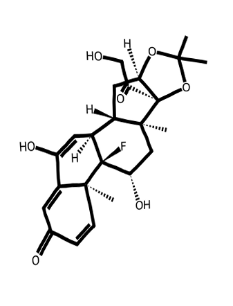 CC1(C)O[C@@H]2C[C@H]3[C@@H]4C=C(O)C5=CC(=O)C=C[C@]5(C)[C@@]4(F)[C@@H](O)C[C@]3(C)[C@]2(C(=O)CO)O1